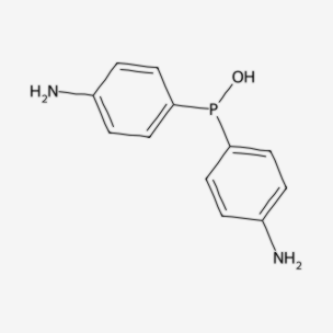 Nc1ccc(P(O)c2ccc(N)cc2)cc1